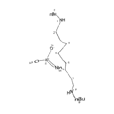 CCCCNCCCCCCNCCCC.N=[N+]([O-])[O-]